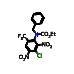 CCOC(=O)N(Cc1ccccc1)c1c(C(F)(F)F)cc([N+](=O)[O-])c(Cl)c1[N+](=O)[O-]